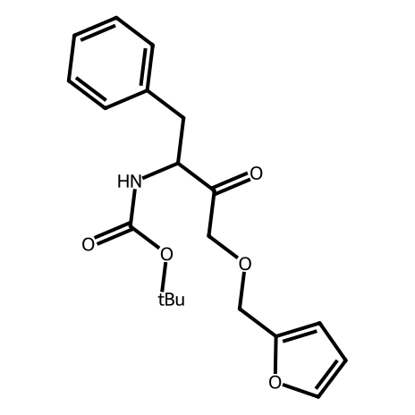 CC(C)(C)OC(=O)NC(Cc1ccccc1)C(=O)COCc1ccco1